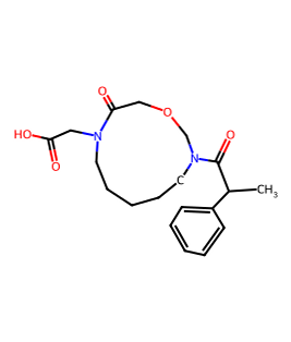 CC(C(=O)N1CCCCCN(CC(=O)O)C(=O)COC1)c1ccccc1